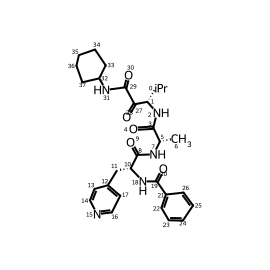 CC(C)[C@H](NC(=O)[C@H](C)NC(=O)[C@@H](Cc1ccncc1)NC(=O)c1ccccc1)C(=O)C(=O)NC1CCCCC1